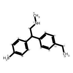 Bc1ccc(C(CNC)c2ccc(CC)cc2)cc1